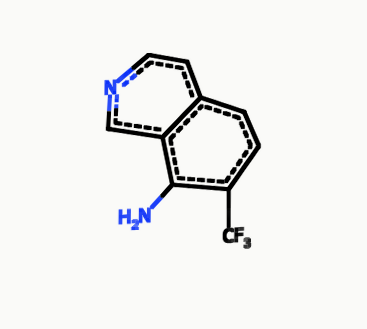 Nc1c(C(F)(F)F)ccc2ccncc12